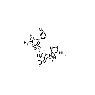 CC1(C)C[C@@H](c2cccc(Cl)c2)OP(=O)(OC[C@H]2O[C@@H](n3cnc4c(N)ncnc43)[C@]3(C)OC(=O)O[C@H]23)O1